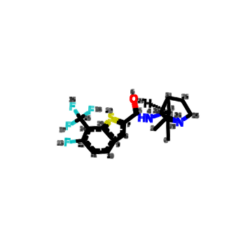 CC1(C)[C@@H](NC(=O)c2cc3ccc(F)c(C(F)(F)F)c3s2)C2CCN1CC2